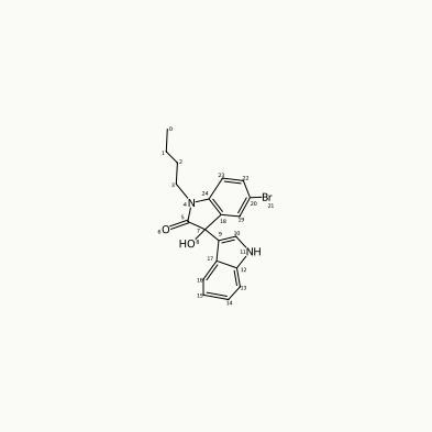 CCCCN1C(=O)C(O)(c2c[nH]c3ccccc23)c2cc(Br)ccc21